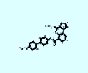 COc1ccc(-c2ccc(OC(=O)c3cccc4c3NC(C(=O)O)C3CC=CC43)cc2)cc1